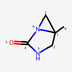 CC12CNC(=O)N1C2